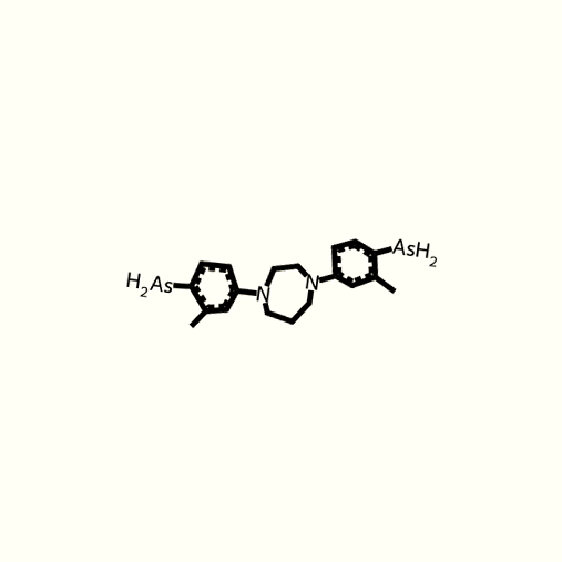 Cc1cc(N2CCCN(c3ccc([AsH2])c(C)c3)CC2)ccc1[AsH2]